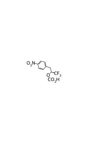 O=C(O)O[C@@H](Cc1ccc([N+](=O)[O-])cc1)C(F)(F)F